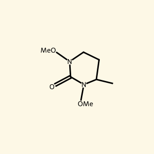 CON1CCC(C)N(OC)C1=O